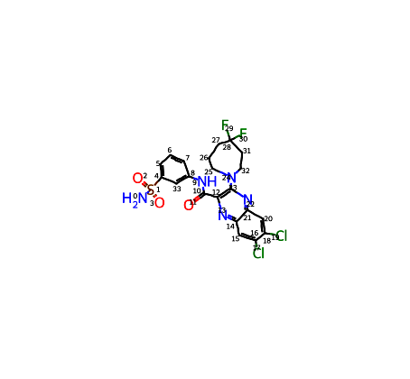 NS(=O)(=O)c1cccc(NC(=O)c2nc3cc(Cl)c(Cl)cc3nc2N2CCCC(F)(F)CC2)c1